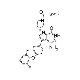 CC#CC(=O)N1CC[C@@H](n2cc(C3=CC=C(Oc4c(F)cccc4F)CC3)c3c(N)n[nH]c(=O)c32)C1